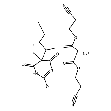 CCCC(C)C1(CC)C(=O)N=C([O-])NC1=O.N#CCCOC(=O)CC(=O)OCCC#N.[Na+]